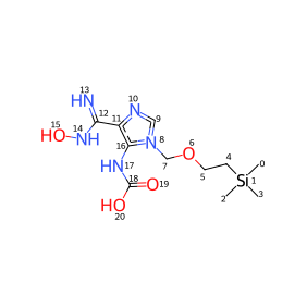 C[Si](C)(C)CCOCn1cnc(C(=N)NO)c1NC(=O)O